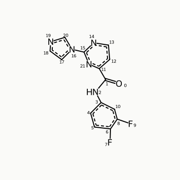 O=C(Nc1ccc(F)c(F)c1)c1ccnc(-n2ccnc2)n1